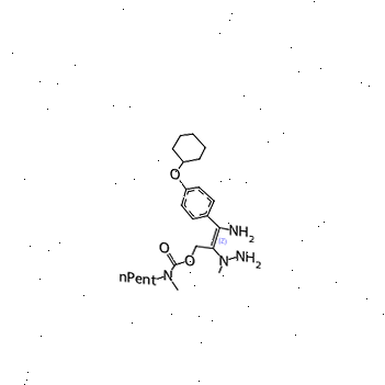 CCCCCN(C)C(=O)OC/C(=C(/N)c1ccc(OC2CCCCC2)cc1)N(C)N